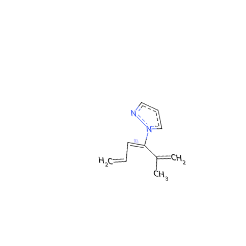 C=C/C=C(\C(=C)C)n1cccn1